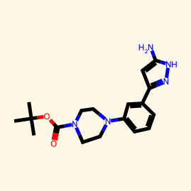 CC(C)(C)OC(=O)N1CCN(c2cccc(-c3cc(N)[nH]n3)c2)CC1